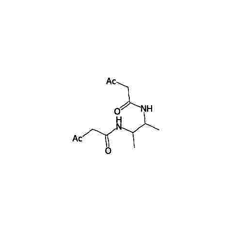 CC(=O)CC(=O)NC(C)C(C)NC(=O)CC(C)=O